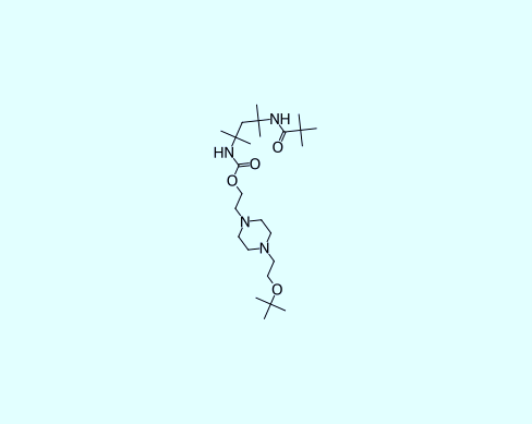 CC(C)(CC(C)(C)NC(=O)C(C)(C)C)NC(=O)OCCN1CCN(CCOC(C)(C)C)CC1